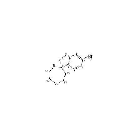 CCC1(c2ccc(Br)cc2)CCCCCC1